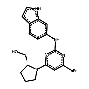 CCCc1cc(N2CCC[C@@H]2CO)nc(Nc2ccc3cc[nH]c3c2)n1